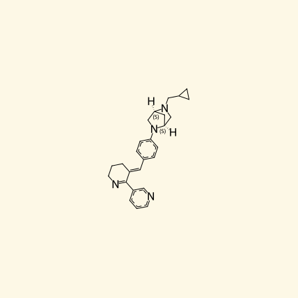 C(=C1CCCN=C1c1cccnc1)c1ccc(N2C[C@@H]3C[C@H]2CN3CC2CC2)cc1